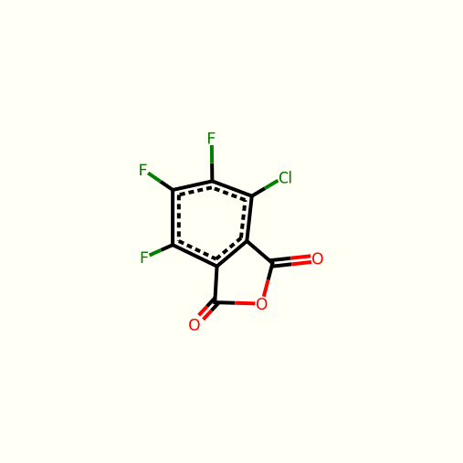 O=C1OC(=O)c2c(Cl)c(F)c(F)c(F)c21